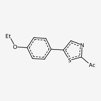 CCOc1ccc(-c2cnc(C(C)=O)s2)cc1